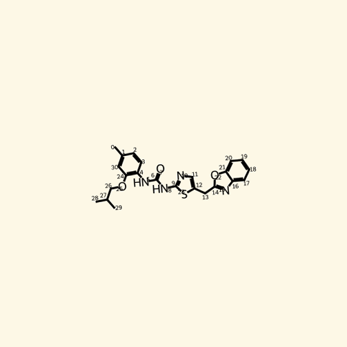 Cc1ccc(NC(=O)Nc2ncc(Cc3nc4ccccc4o3)s2)c(OCC(C)C)c1